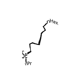 [CH2]CC[Se]CCCCCCCCCCCC